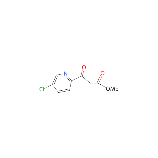 COC(=O)CC(=O)c1ccc(Cl)cn1